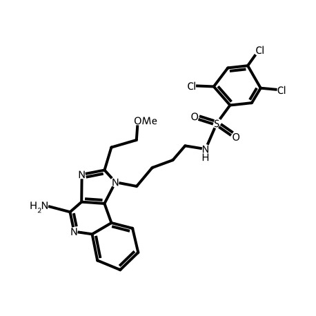 COCCc1nc2c(N)nc3ccccc3c2n1CCCCNS(=O)(=O)c1cc(Cl)c(Cl)cc1Cl